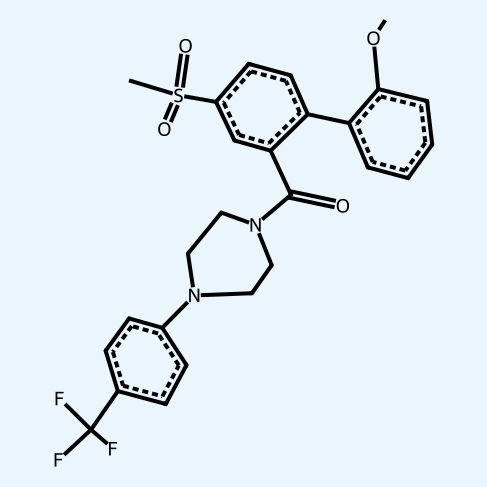 COc1ccccc1-c1ccc(S(C)(=O)=O)cc1C(=O)N1CCN(c2ccc(C(F)(F)F)cc2)CC1